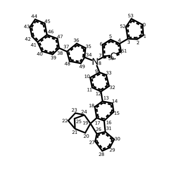 c1ccc(-c2ccc(N(c3ccc(-c4ccc5c(c4)C4(CC6CCC4C6)c4ccccc4-5)cc3)c3ccc(-c4ccc5ccccc5c4)cc3)cc2)cc1